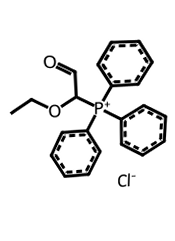 CCOC(C=O)[P+](c1ccccc1)(c1ccccc1)c1ccccc1.[Cl-]